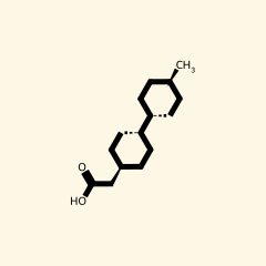 C[C@H]1CC[C@H]([C@H]2CC[C@H](CC(=O)O)CC2)CC1